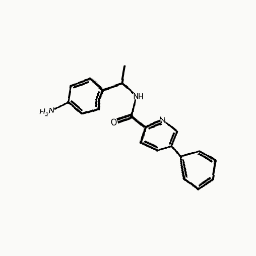 CC(NC(=O)c1ccc(-c2ccccc2)cn1)c1ccc(N)cc1